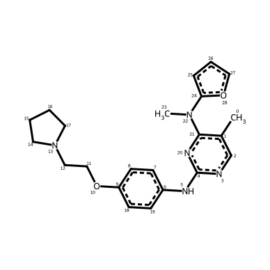 Cc1cnc(Nc2ccc(OCCN3CCCC3)cc2)nc1N(C)c1ccco1